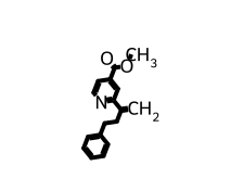 C=C(CCc1ccccc1)c1cc(C(=O)OC)ccn1